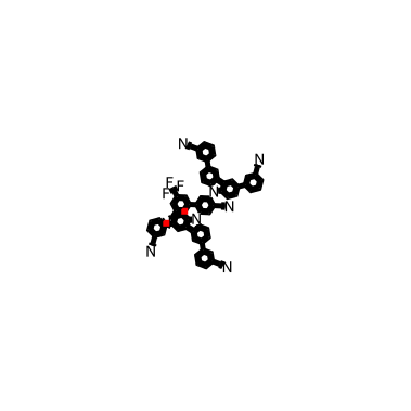 N#Cc1cccc(-c2ccc3c(c2)c2cc(-c4cccc(C#N)c4)ccc2n3-c2cc(-c3cc(C#N)cc(C(F)(F)F)c3)c(-n3c4ccc(-c5cccc(C#N)c5)cc4c4cc(-c5cccc(C#N)c5)ccc43)cc2C#N)c1